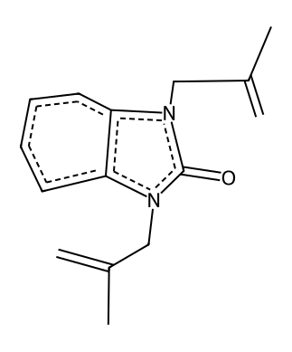 C=C(C)Cn1c(=O)n(CC(=C)C)c2ccccc21